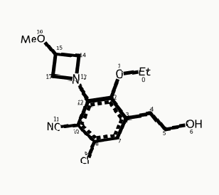 CCOc1c(CCO)cc(Cl)c(C#N)c1N1CC(OC)C1